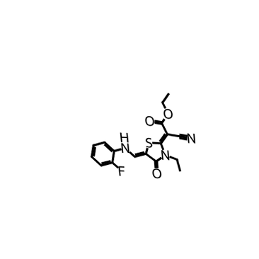 CCOC(=O)C(C#N)=c1sc(=CNc2ccccc2F)c(=O)n1CC